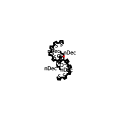 CCCCCCCCCCCCC(CCCCCCCCCC)CN1C(=O)C2=C(C3CC=C(C4=CCC(C5CC=C(C6=CCC(C7CC=CS7)S6)S5)S4)S3)N(CC(CCCCCCCCCC)CCCCCCCCCCCC)C(=O)C2=C1c1ccc(-c2ccc(-c3ccc(-c4ccc(-c5cccs5)s4)s3)s2)s1